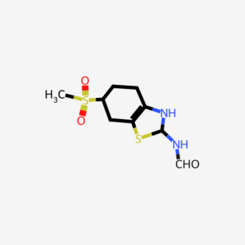 CS(=O)(=O)C1CCC2=C(C1)SC(NC=O)N2